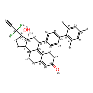 C#CC(F)(F)[C@]1(O)CCC2C3CCC4=CC(=O)CCC4=C3C(c3ccc(-c4c(C)cc(C)cc4C)cc3)C[C@@]21C